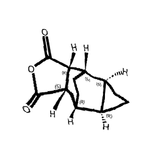 O=C1OC(=O)[C@H]2[C@@H]3C[C@@H]([C@H]4C[C@H]43)[C@@H]12